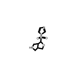 O=S(=O)(C1OCC2CNCC21)n1ccnc1